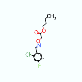 CCCCOC(=O)CON=Cc1c[c]c(F)cc1Cl